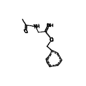 B=C(CNC(C)=O)OCc1ccccc1